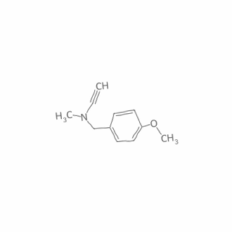 C#CN(C)Cc1ccc(OC)cc1